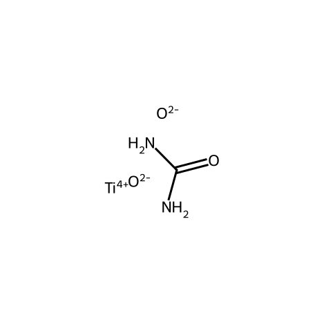 NC(N)=O.[O-2].[O-2].[Ti+4]